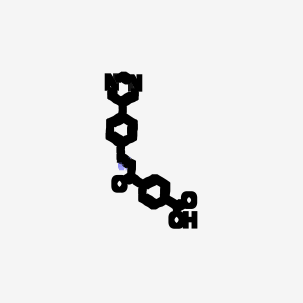 O=C(O)c1ccc(C(=O)/C=C/c2ccc(-c3cncnc3)cc2)cc1